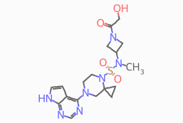 CN(C1CN(C(=O)CO)C1)S(=O)(=O)N1CCN(c2ncnc3[nH]ccc23)CC12CC2